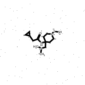 CN(C)CC1(NC(=O)CC2CC2)CCN(SS)CC1